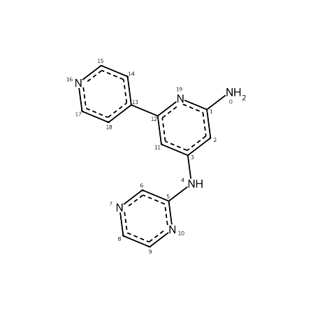 Nc1cc(Nc2cnccn2)cc(-c2ccncc2)n1